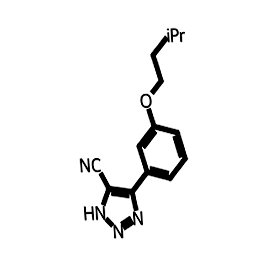 CC(C)CCOc1cccc(-c2nn[nH]c2C#N)c1